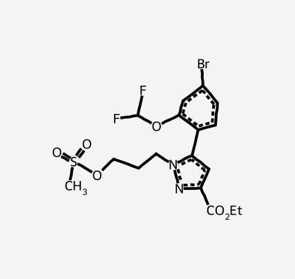 CCOC(=O)c1cc(-c2ccc(Br)cc2OC(F)F)n(CCCOS(C)(=O)=O)n1